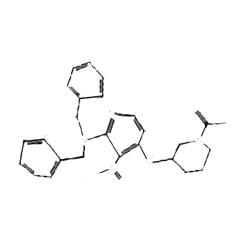 O=C(O)N1CCCC(Nc2ccnc(N(Cc3ccccc3)Cc3ccccc3)c2[N+](=O)[O-])C1